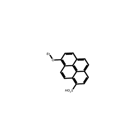 CCOc1ccc2ccc3ccc(S(=O)(=O)O)c4ccc1c2c34